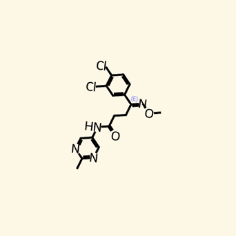 CO/N=C(\CCC(=O)Nc1cnc(C)nc1)c1ccc(Cl)c(Cl)c1